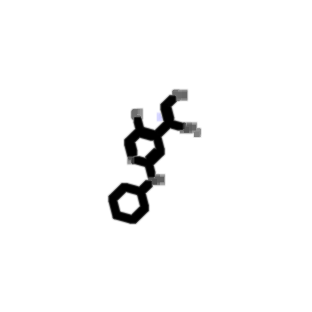 N/C(=C\S)c1cc(NC2CCCCC2)ncc1Cl